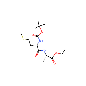 CCOC(=O)[C@H](C)NC(=O)[C@H](CCSC)NC(=O)OC(C)(C)C